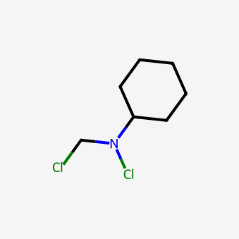 ClCN(Cl)C1CCCCC1